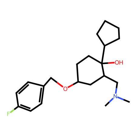 CN(C)CC1CC(OCc2ccc(F)cc2)CCC1(O)C1CCCC1